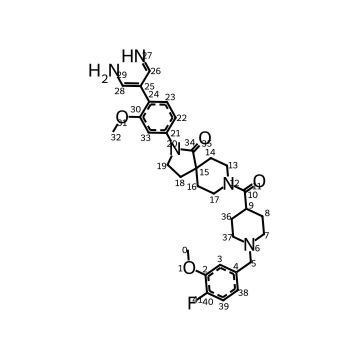 COc1cc(CN2CCC(C(=O)N3CCC4(CC3)CCN(c3ccc(/C(C=N)=C/N)c(OC)c3)C4=O)CC2)ccc1F